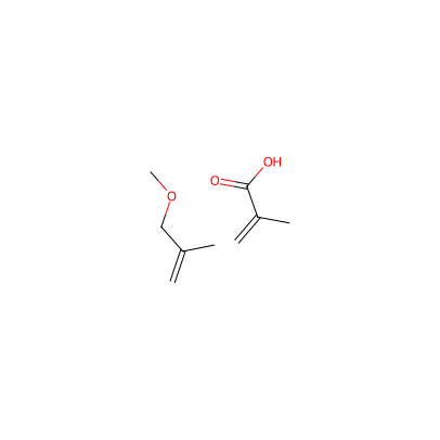 C=C(C)C(=O)O.C=C(C)COC